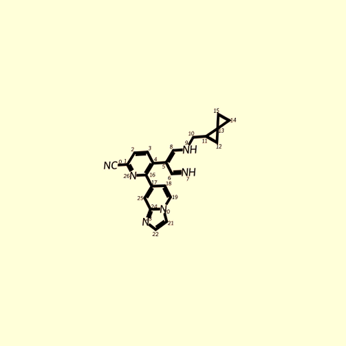 N#Cc1ccc(/C(C=N)=C/NCC2CC23CC3)c(-c2ccn3ccnc3c2)n1